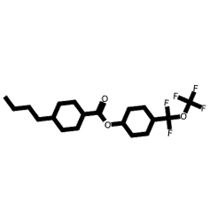 CCCCC1CCC(C(=O)OC2CCC(C(F)(F)OC(F)(F)F)CC2)CC1